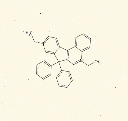 CC[n+]1ccc2c(c1)C(c1ccccc1)(c1ccccc1)c1c[n+](CC)c3ccccc3c1-2